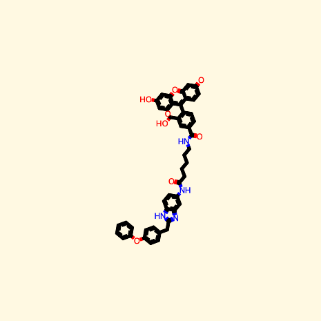 O=C(CCCCCNC(=O)c1ccc(-c2c3ccc(=O)cc-3oc3cc(O)ccc23)c(C(=O)O)c1)Nc1ccc2[nH]c(Cc3ccc(Oc4ccccc4)cc3)nc2c1